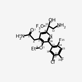 CCOc1c(CC(N)=O)cc([C@@](O)(CN)C(F)(F)F)nc1-c1cc(Cl)c(F)cc1F